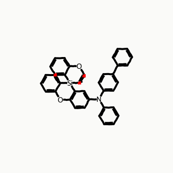 c1ccc(-c2ccc(N(c3ccccc3)c3ccc4c(c3)[Si]3(c5ccccc5Oc5ccccc53)c3ccccc3O4)cc2)cc1